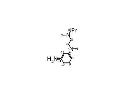 CC(C)N(C)CCN(C)c1cc[c]c(N)c1